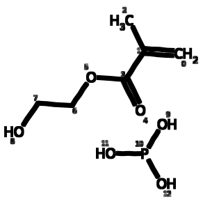 C=C(C)C(=O)OCCO.OP(O)O